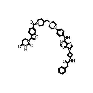 O=C1CCN(c2coc3cc(C(=O)N4CCC(CN5CCN(c6ccc(Nc7ncnc8c7ncn8C7CC(NC(=O)Cc8ccccc8)C7)cc6)CC5)CC4)ccc23)C(=O)N1